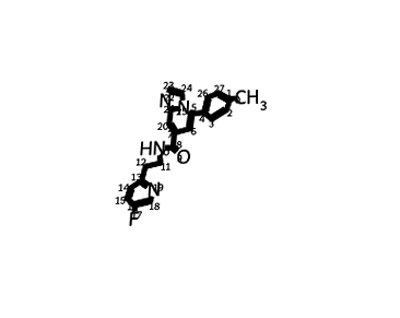 Cc1ccc(-c2cc(C(=O)NCCc3ccc(F)cn3)cc3nccn23)cc1